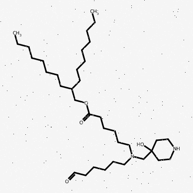 CCCCCCCCC(CCCCCCCC)COC(=O)CCCCCN(CCCCCC=O)CC1(O)CCNCC1